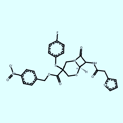 O=C(Cc1cccs1)NC1C(=O)N2CC(Sc3ccc(F)cc3)(C(=O)OCc3ccc([N+](=O)[O-])cc3)CS[C@H]12